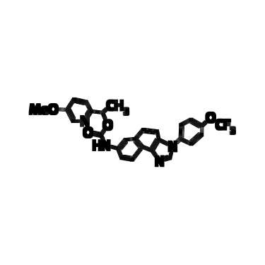 COc1ccc(C(C)OC(=O)Nc2ccc3c(ccc4c3ncn4-c3ccc(OC(F)(F)F)cc3)c2)nc1